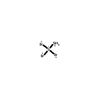 [SiH3][Si](Br)(Br)Br